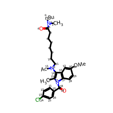 CCCCN(C)C(=O)CCCCCCCN(C(C)=O)c1c(C)n(C(=O)c2ccc(Cl)cc2)c2ccc(OC)cc12